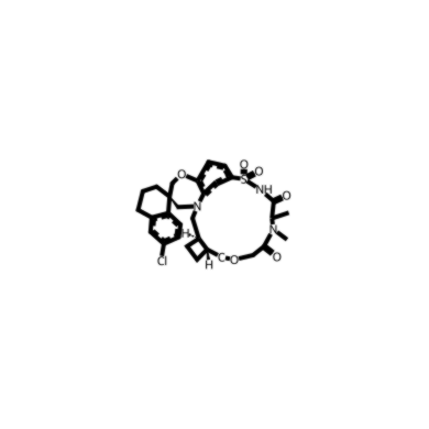 CC1C(=O)NS(=O)(=O)c2ccc3c(c2)N(C[C@@H]2CC[C@H]2COCC(=O)N1C)C[C@@]1(CCCc2cc(Cl)ccc21)CO3